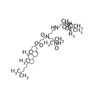 CC(C)CCCCC1CCC2C3CC=C4CC(OC(=O)CCC(=O)N(CCCCNCCC(C)(C)NC(=O)OC(C)(C)C)CCC(C)(C)NC=O)CCC4(C)C3CCC12C